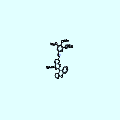 COc1ccc(/C=C/c2cc(OC)c(OC)c(OC)c2)cc1OC(=O)C1c2ccccc2Oc2ccccc21